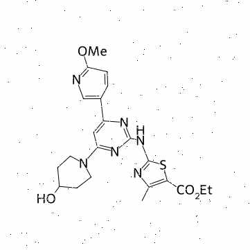 CCOC(=O)c1sc(Nc2nc(-c3ccc(OC)nc3)cc(N3CCC(O)CC3)n2)nc1C